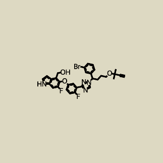 C#CC(C)(C)OCCCC(c1cccc(Br)c1)n1cnc(-c2cc(Oc3c(F)cc4[nH]ccc4c3CO)ccc2F)n1